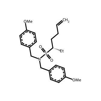 C=CCC[C@H](CC)S(=O)(=O)N(Cc1ccc(OC)cc1)Cc1ccc(OC)cc1